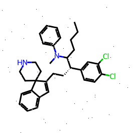 CCCCC([C@@H](CCC1=Cc2ccccc2C12CCNCC2)c1ccc(Cl)c(Cl)c1)N(C)c1ccccc1